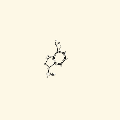 COC1COc2c1cccc2C(F)(F)F